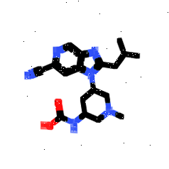 CC(C)Cc1nc2cnc(C#N)cc2n1C1CC(NC(=O)O)CN(C)C1